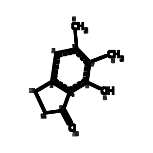 Cc1cc2c(c(O)c1C)C(=O)CC2